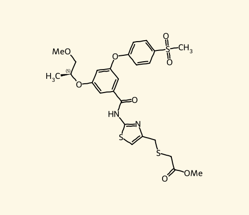 COC[C@H](C)Oc1cc(Oc2ccc(S(C)(=O)=O)cc2)cc(C(=O)Nc2nc(CSCC(=O)OC)cs2)c1